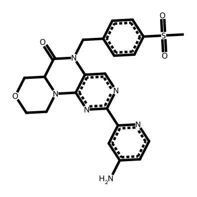 CS(=O)(=O)c1ccc(CN2C(=O)C3COCCN3c3nc(-c4cc(N)ccn4)ncc32)cc1